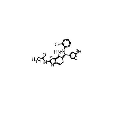 [2H]c1cc(C2=C3CC=c4nc(NC(C)=O)sc4=C3NN2c2ccccc2Cl)co1